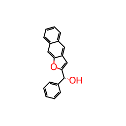 O[C@H](c1ccccc1)c1cc2cc3ccccc3cc2o1